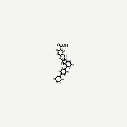 O=C(O)c1ccc(Cc2nc3c(-c4ccc(C5=CCCCC5)cc4)cccc3[nH]2)cc1